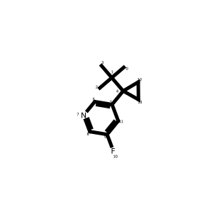 CC(C)(C)C1(c2cncc(F)c2)CC1